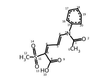 CC(=O)N(/C=C/C=C(\C(=O)O)S(C)(=O)=O)c1ccccc1